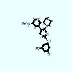 CCOC(=O)c1cncc(-c2cnc(Nc3cc(O)cc(F)c3)nc2N2CCOCC2)c1